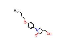 CCCCOc1ccc(N2CC(CO)CC2=O)cc1